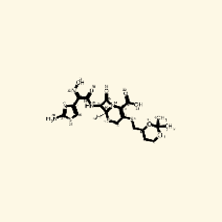 CC1(C)OCCC(CSC2=C(C(=O)O)N3C(=O)C(NC(=O)/C(=N\O)c4csc(N)n4)[C@@H]3SC2)O1